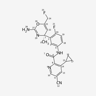 C[C@@]1(c2cc(NC(=O)c3ncc(C#N)cc3C3CC3)ccc2F)C=C(CF)OC(N)=N1